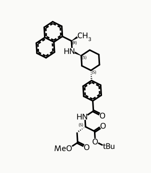 COC(=O)C[C@H](NC(=O)c1ccc([C@H]2CCC[C@H](N[C@H](C)c3cccc4ccccc34)C2)cc1)C(=O)OC(C)(C)C